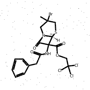 CC1(Br)CS[C@@H]2N(C1)C(=O)C2(NC(=O)Cc1ccccc1)C(=O)OCC(Cl)(Cl)Cl